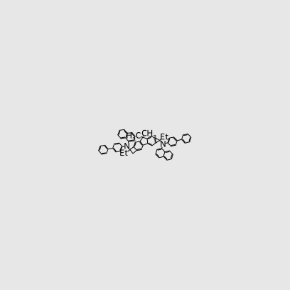 CCC1(N(c2ccc(-c3ccccc3)cc2)c2cccc3ccccc23)Cc2cc3c(cc21)C(C)(C)c1cc2c(cc1-3)C2(CC)N(c1ccc(-c2ccccc2)cc1)c1cccc2ccccc12